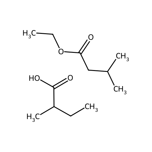 CCC(C)C(=O)O.CCOC(=O)CC(C)C